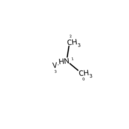 CNC.[V]